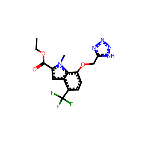 CCOC(=O)c1cc2c(C(F)(F)F)ccc(OCc3nnn[nH]3)c2n1C